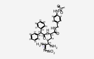 CS(=O)(=O)Nc1ccc(CNC(=O)C(CCC(N)/C(N)=N\[N+](=O)[O-])NC(=O)C(c2ccccc2)c2ccccc2)cc1